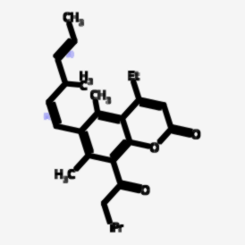 C/C=C/C(C)/C=C\c1c(C)c(C(=O)CC(C)C)c2oc(=O)cc(CC)c2c1C